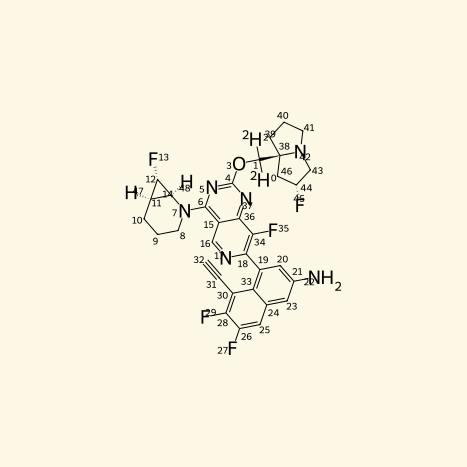 [2H]C([2H])(Oc1nc(N2CCC[C@H]3[C@H](F)[C@H]32)c2cnc(-c3cc(N)cc4cc(F)c(F)c(C#C)c34)c(F)c2n1)[C@@]12CCCN1C[C@H](F)C2